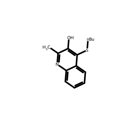 CCCCSc1c(O)c(C)nc2ccccc12